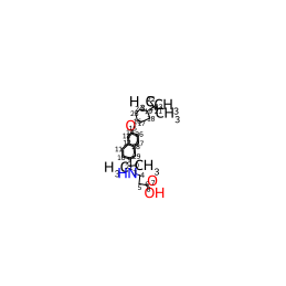 CC(C)(NCCC(=O)O)c1ccc2cc(O[C@H]3CC[C@H](C(C)(C)C)CC3)ccc2c1